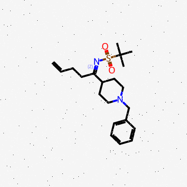 C=CCC/C(=N/S(=O)(=O)C(C)(C)C)C1CCN(Cc2ccccc2)CC1